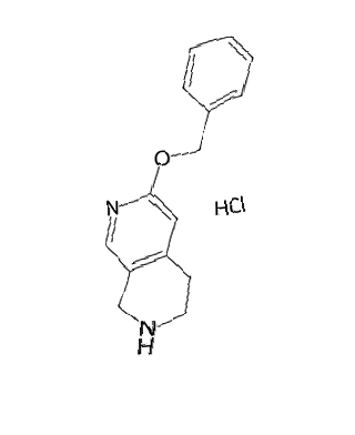 Cl.c1ccc(COc2cc3c(cn2)CNCC3)cc1